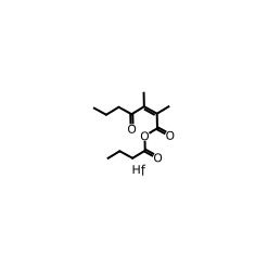 CCCC(=O)OC(=O)C(C)=C(C)C(=O)CCC.[Hf]